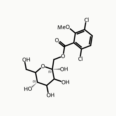 COc1c(Cl)ccc(Cl)c1C(=O)OC[C@]1(O)OC(CO)[C@@H](O)C(O)C1O